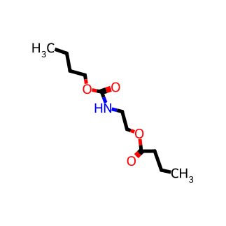 CCCCOC(=O)NCCOC(=O)CCC